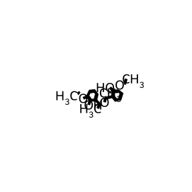 CCOc1cccc(C(C)OC(C)c2cccc(OCC)c2O)c1O